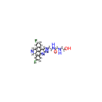 O=C(CNCCO)NCCn1cc2c(-c3ccc(F)cc3)c(-c3ccncc3)c(-c3ccc(F)cc3)nc2n1